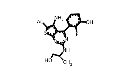 CC(=O)c1sc2nc(N[C@@H](C)CO)nc(-c3cccc(O)c3F)c2c1N